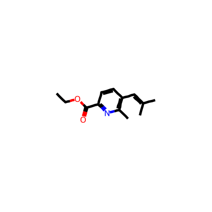 CCOC(=O)c1ccc(C=C(C)C)c(C)n1